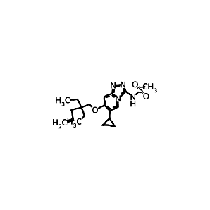 C=CCC(CC)(CC)COc1cc2nnc(NS(C)(=O)=O)n2cc1C1CC1